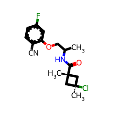 CC(COc1cc(F)ccc1C#N)NC(=O)[C@]1(C)C[C@@](C)(Cl)C1